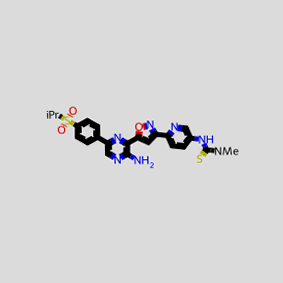 CNC(=S)Nc1ccc(-c2cc(-c3nc(-c4ccc(S(=O)(=O)C(C)C)cc4)cnc3N)on2)nc1